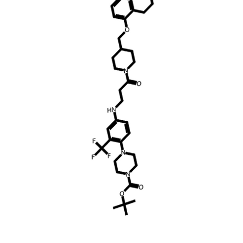 CC(C)(C)OC(=O)N1CCN(c2ccc(NCCC(=O)N3CCC(COc4cccc5c4CCCC5)CC3)cc2C(F)(F)F)CC1